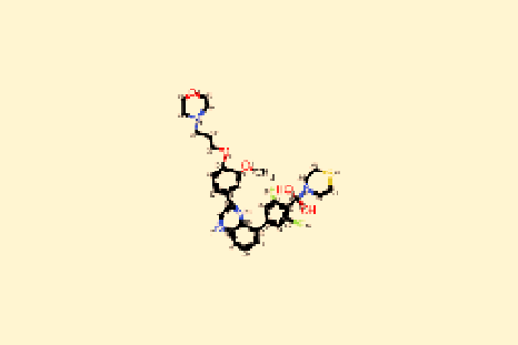 COc1cc(-c2cnc3cccc(-c4cc(F)c(C(O)(O)N5CCSCC5)c(F)c4)c3n2)ccc1OCCCN1CCOCC1